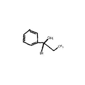 CCC(O)(Br)c1ccccc1